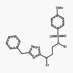 CCN(CCN(CC)S(=O)(=O)c1ccc(OC)cc1)c1nc(Cc2ccccc2)ns1